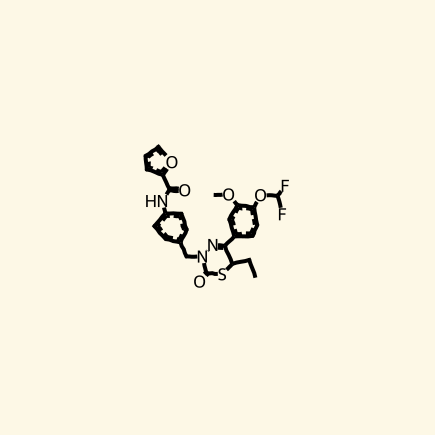 CCC1SC(=O)N(Cc2ccc(NC(=O)c3ccco3)cc2)N=C1c1ccc(OC(F)F)c(OC)c1